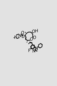 C/C(=C\c1cc(F)c2nnn(C3CCCCC3)c2c1)[C@H]1OC(=O)C[C@H](O)CC[C@H](C)[C@@H](OC(=O)N2CCN(C)CC2)/C=C/[C@@H]1C